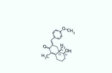 COc1ccc(C=C2C[C@@]3(C)C(=C(C)C2=O)CCC[C@@H]3O)cc1